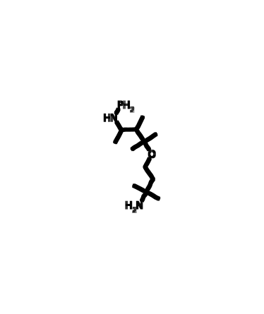 CC(NP)C(C)C(C)(C)OCCC(C)(C)N